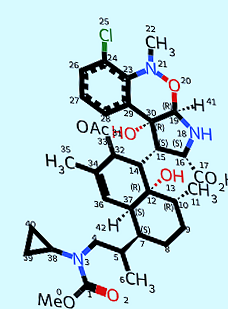 COC(=O)N(CC(C)[C@@H]1CC[C@@H](C)[C@]2(O)C([C@H]3[C@@H](C(=O)O)N[C@@H]4ON(C)c5c(Cl)cccc5[C@@]43O)C(OC(C)=O)C(C)=C[C@H]12)C1CC1